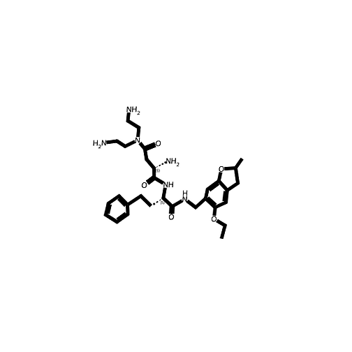 CCOc1cc2c(cc1CNC(=O)[C@H](CCc1ccccc1)NC(=O)[C@@H](N)CC(=O)N(CCN)CCN)OC(C)C2